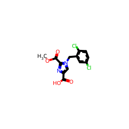 COC(=O)c1nc(C(=O)O)cn1Cc1cc(Cl)ccc1Cl